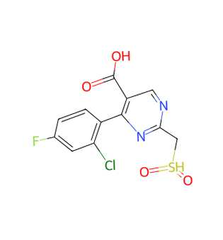 O=C(O)c1cnc(C[SH](=O)=O)nc1-c1ccc(F)cc1Cl